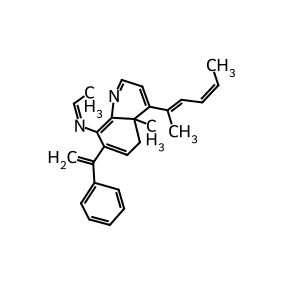 C=C(C1=CCC2(C)C(/C(C)=C/C=C\C)=CC=NC2=C1/N=C\C)c1ccccc1